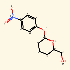 O=[N+]([O-])c1ccc(OC2CCCC(CO)O2)cc1